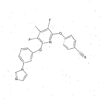 Cc1c(F)c(Oc2ccc(C#N)cc2)nc(Oc2cccc(-n3ccnc3)c2)c1F